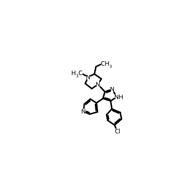 CCC1CN(c2n[nH]c(-c3ccc(Cl)cc3)c2-c2ccncc2)CCN1C